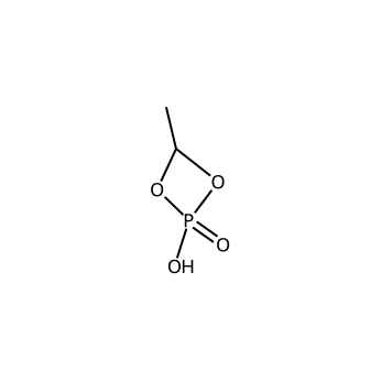 CC1OP(=O)(O)O1